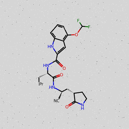 CC(C)C[C@H](NC(=O)c1cc2c(OC(F)F)cccc2[nH]1)C(=O)N[C@H](C#N)C[C@@H]1CCNC1=O